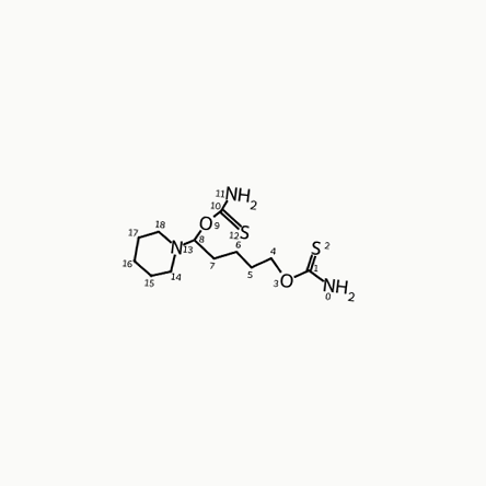 NC(=S)OCCCCC(OC(N)=S)N1CCCCC1